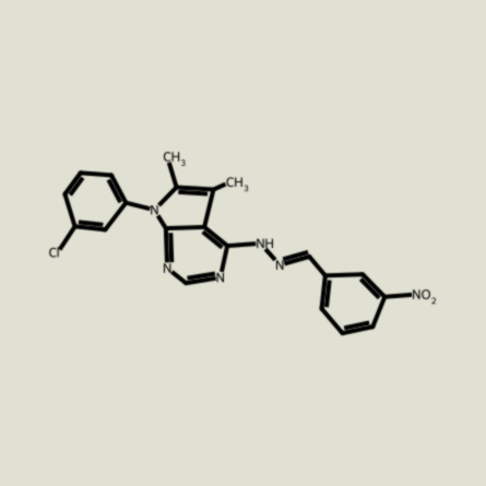 Cc1c(C)n(-c2cccc(Cl)c2)c2ncnc(NN=Cc3cccc([N+](=O)[O-])c3)c12